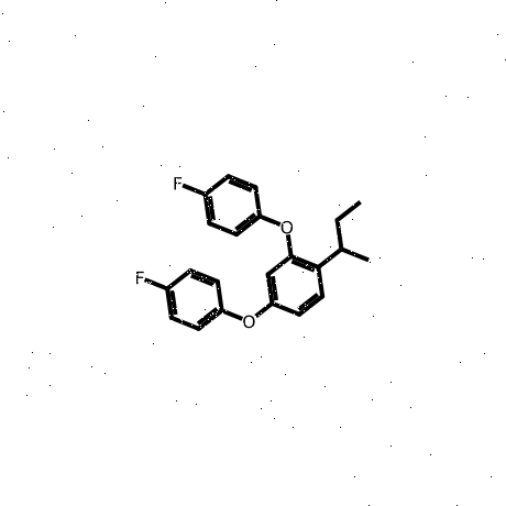 CCC(C)c1ccc(Oc2ccc(F)cc2)cc1Oc1ccc(F)cc1